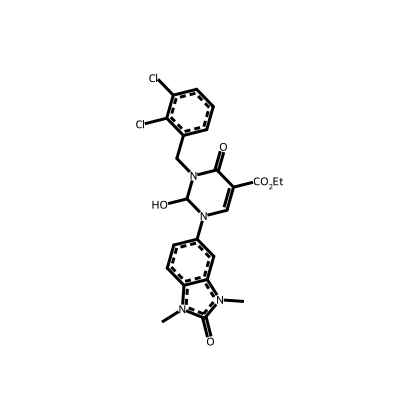 CCOC(=O)C1=CN(c2ccc3c(c2)n(C)c(=O)n3C)C(O)N(Cc2cccc(Cl)c2Cl)C1=O